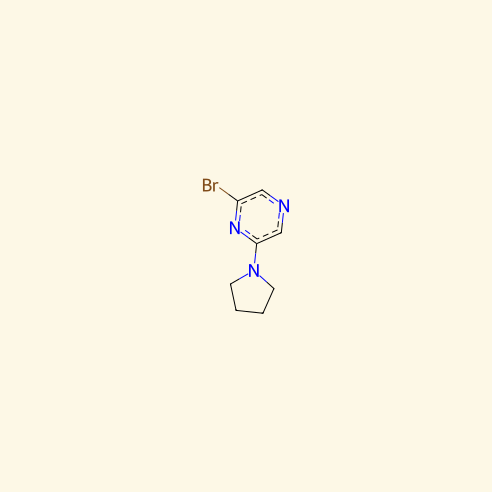 Brc1cncc(N2CCCC2)n1